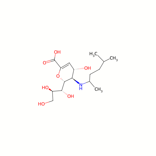 CC(C)CCC(C)N[C@H]1[C@H]([C@H](O)[C@H](O)CO)OC(C(=O)O)=C[C@@H]1O